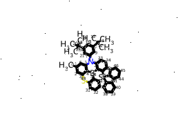 Cc1cc2c3c(c1)N(c1cc(C(C)(C)C)cc(C(C)(C)C)c1)c1cccc4c1B3c1c(cccc1[Si]4(c1ccccc1)c1ccccc1)S2